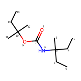 CCC(C)(CC)NC(=O)OC(C)(C)CC